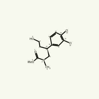 COC(=O)N(C)C[C@@H](CCO)c1ccc(Cl)c(Cl)c1